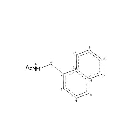 [CH2]C(=O)NCc1cccc2ccccc12